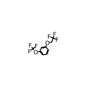 FC(F)(F)COc1c[c]cc(OC(F)(F)F)c1